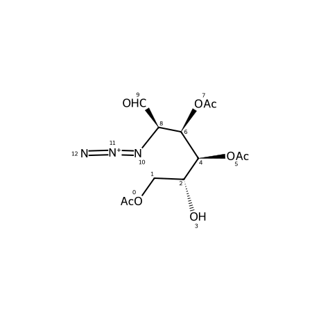 CC(=O)OC[C@@H](O)[C@H](OC(C)=O)[C@H](OC(C)=O)[C@H](C=O)N=[N+]=[N-]